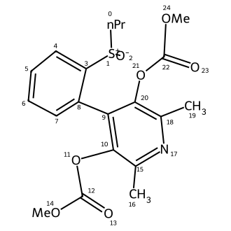 CCC[S+]([O-])c1ccccc1-c1c(OC(=O)OC)c(C)nc(C)c1OC(=O)OC